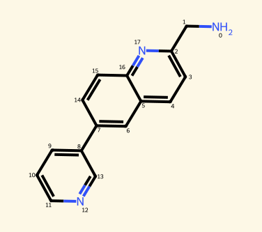 NCc1ccc2cc(-c3cccnc3)ccc2n1